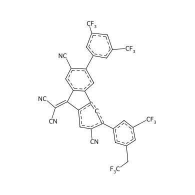 N#CC(C#N)=C1c2cc(C#N)c(-c3cc(CC(F)(F)F)cc(C(F)(F)F)c3)cc2-c2cc(-c3cc(C(F)(F)F)cc(C(F)(F)F)c3)c(C#N)cc21